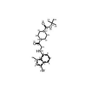 Cn1nc(Br)c2cccc(NCC(=O)N3CCN(C(=O)OC(C)(C)C)CC3)c21